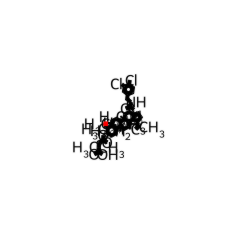 C=C(C)[C@@H]1CC[C@]2(CC(=O)NCc3ccc(Cl)c(Cl)c3)CC[C@]3(C)[C@H](CC[C@@H]4[C@@]5(C)CC[C@H](OC(=O)CC(C)(C)C(=O)O)C(C)(C)[C@@H]5CC[C@]43C)[C@@H]12